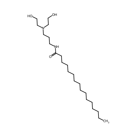 CCCCCCCCCCCCCCCC(=O)NCCCN(CCO)CCO